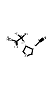 C1CCOC1.CC#N.O=C(O)C(F)(F)F